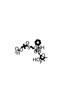 [2H]C(=O)OCC(C)(C)C(=O)SCCOP(=O)(Nc1ccccc1)OC[C@H]1O[C@@H](C)[C@](C)(F)[C@@H]1O